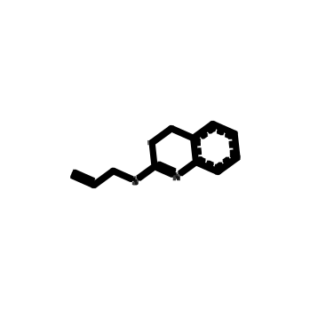 C=CCSC1=Nc2ccccc2C[C]1